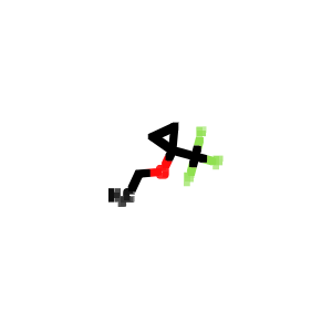 CCOC1(C(F)(F)F)CC1